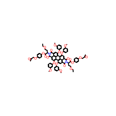 CCOCCC(C(=O)Oc1ccc(OCC2CO2)cc1)N1C(=O)c2cc(Oc3cccc(OC)c3)c3c4c(Oc5cccc(OC)c5)cc5c6c(cc(Oc7cccc(OC)c7)c(c7c(Oc8cccc(OC)c8)cc(c2c37)C1=O)c64)C(=O)N(C(CCOCC)C(=O)Oc1ccc(OCC2CO2)cc1)C5=O